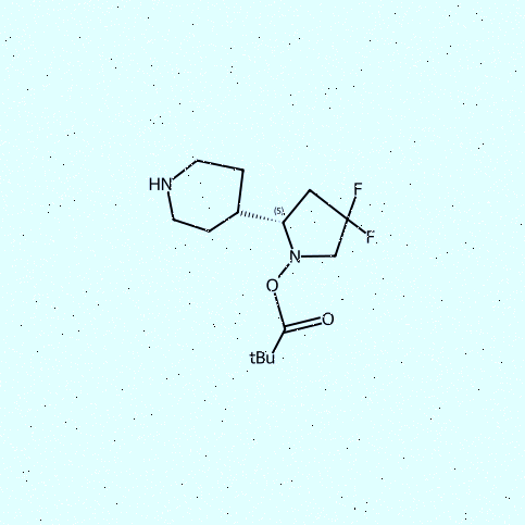 CC(C)(C)C(=O)ON1CC(F)(F)C[C@H]1C1CCNCC1